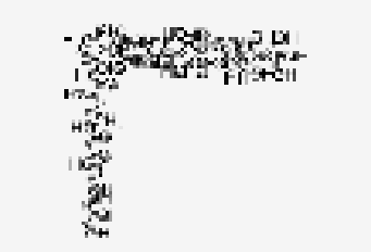 CC(C)C(O)C(=O)O.CC(O)CC(=O)O.CCCC(O)C(=O)O.CCO.CCO.CCO.O=C(O)CC(=O)O.O=C(O)CC(=O)O.O=C(O)CC(=O)O.O=CO.O=CO.O=CO.OCC(O)CO.OCC(O)CO.OCC(O)CO